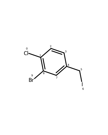 Clc1ccc(CI)cc1Br